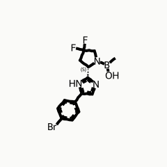 CB(O)N1CC(F)(F)C[C@H]1c1ncc(-c2ccc(Br)cc2)[nH]1